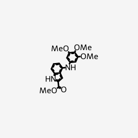 COC(=O)c1cc2c(Nc3cc(OC)c(OC)c(OC)c3)cccc2[nH]1